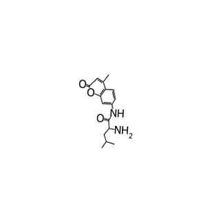 Cc1cc(=O)oc2cc(NC(=O)C(N)CC(C)C)ccc12